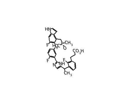 CC(c1cnc(-c2cc(Oc3c(F)cc4[nH]ccc4c3CP(C)(C)=O)ccc2F)[nH]1)c1cccc(CCC(=O)O)c1F